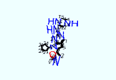 c1ncc(-c2cc3cnc(NC4CNCCN4)nc3n2C2CCCC2)o1